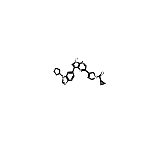 O=C(C1CC1)N1CC=C(c2cnc3[nH]cc(-c4ccc5ncn(C6CCCC6)c5c4)c3n2)C1